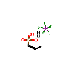 C/C=C\S(=O)(=O)O.FP(F)(F)(F)F.[LiH]